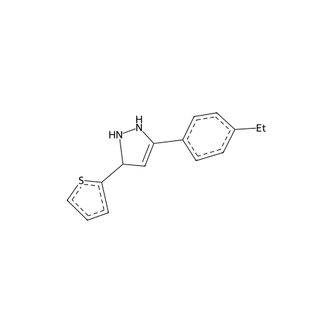 CCc1ccc(C2=CC(c3cccs3)NN2)cc1